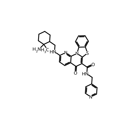 CC1(N)CCCCC1CNc1ccc2c(=O)c(C(=O)NCc3ccncc3)c3sc4ccccc4n3c2n1